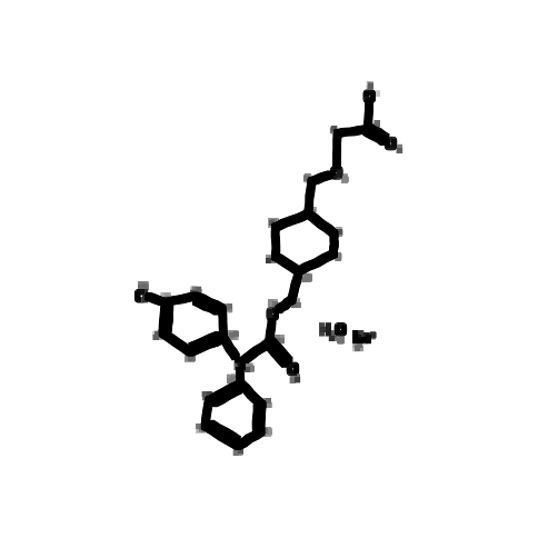 O.O=C([O-])COCC1CCC(COC(=O)N(c2ccccc2)c2ccc(Cl)cc2)CC1.[Na+]